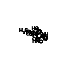 CN(C)CC(O)Cn1cc(C2=C(c3c[nH]c4ccccc34)C(=O)NC2=O)c2cccc(O)c21